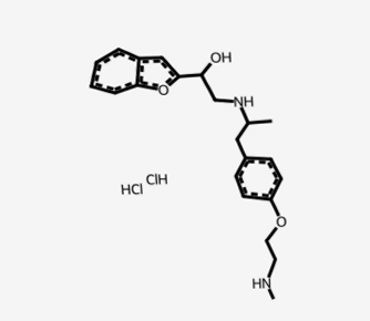 CNCCOc1ccc(CC(C)NCC(O)c2cc3ccccc3o2)cc1.Cl.Cl